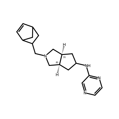 C1=CC2CC1CC2CN1C[C@H]2CC(Nc3cnccn3)C[C@H]2C1